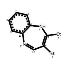 CCC1=C(CC)Nc2ccccc2N=C1